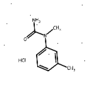 Cc1cccc(N(C)C(N)=O)c1.Cl